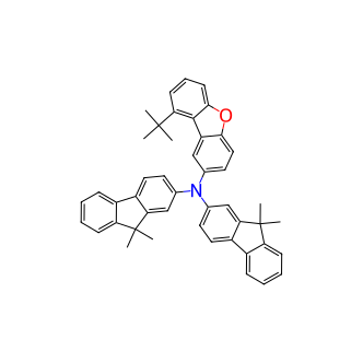 CC(C)(C)c1cccc2oc3ccc(N(c4ccc5c(c4)C(C)(C)c4ccccc4-5)c4ccc5c(c4)C(C)(C)c4ccccc4-5)cc3c12